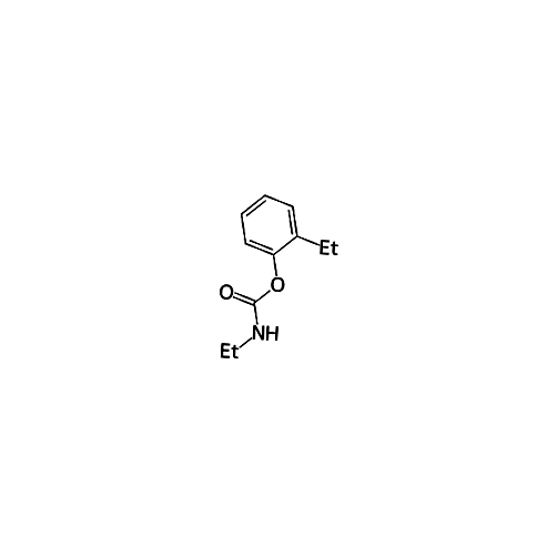 CCNC(=O)Oc1ccccc1CC